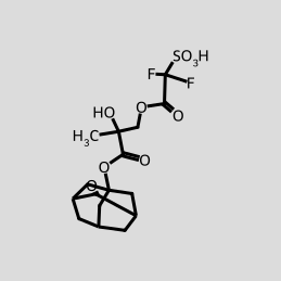 CC(O)(COC(=O)C(F)(F)S(=O)(=O)O)C(=O)OC12CC3CC(C1)C(=O)C(C3)C2